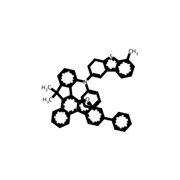 Cc1cccc2c3c(sc12)CCC(N(C1=CC=CCC1)c1cccc2c1-c1c(c4ccccc4c4c1oc1cc(-c5ccccc5)ccc14)C2(C)C)=C3